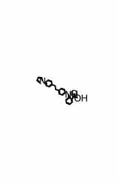 O=C(O)c1ccccc1Nc1ccc(CCc2ccc(-n3cccc3)cc2)cc1